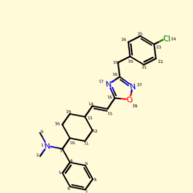 CN(C)C(c1ccccc1)C1CCC(C=Cc2nc(Cc3ccc(Cl)cc3)no2)CC1